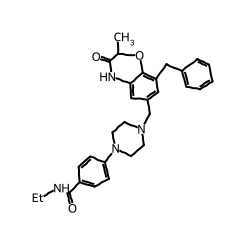 CCNC(=O)c1ccc(N2CCN(Cc3cc(Cc4ccccc4)c4c(c3)NC(=O)C(C)O4)CC2)cc1